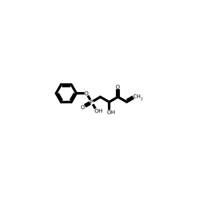 C=CC(=O)C(O)CP(=O)(O)Oc1ccccc1